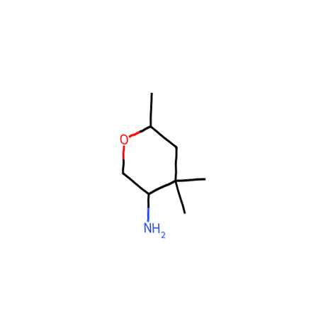 CC1CC(C)(C)C(N)CO1